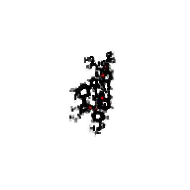 COc1ccc(CN(Cc2ccc(OC)cc2)S(=O)(=O)c2c(S(=O)(=O)NC(CNC(=O)O)CNC(=O)O)ccc(-c3ccnc(-c4cnc(N)[nH]4)c3)c2-c2nnn(Cc3ccc(OC)cc3)n2)cc1